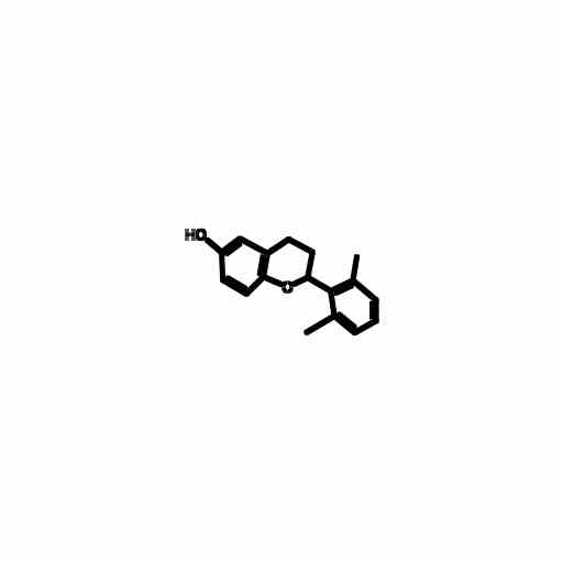 Cc1cccc(C)c1C1CCc2cc(O)ccc2O1